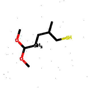 COC(OC)[SiH2]CC(C)CS